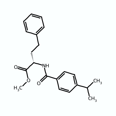 COC(=O)[C@H](CCc1ccccc1)NC(=O)c1ccc(C(C)C)cc1